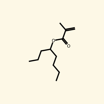 C=C(C)C(=O)OC(CCC)CCCC